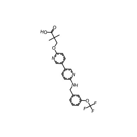 CC(C)(COc1ccc(-c2ccc(NCc3cccc(OC(F)(F)F)c3)nc2)cn1)C(=O)O